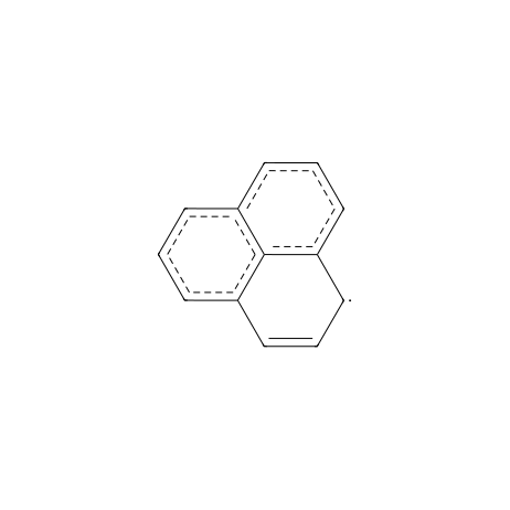 [CH]1C=Cc2cccc3cccc1c23